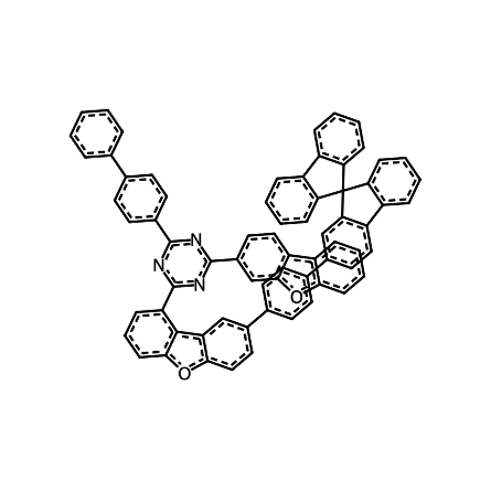 c1ccc(-c2ccc(-c3nc(-c4ccc5c(c4)oc4ccccc45)nc(-c4cccc5oc6ccc(-c7ccc(-c8ccc9c(c8)C8(c%10ccccc%10-c%10ccccc%108)c8ccccc8-9)cc7)cc6c45)n3)cc2)cc1